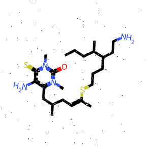 CCCC(C)C(CCN)CCCS/C(C)=C\CC(C)Cc1c(N)c(=S)n(C)c(=O)n1C